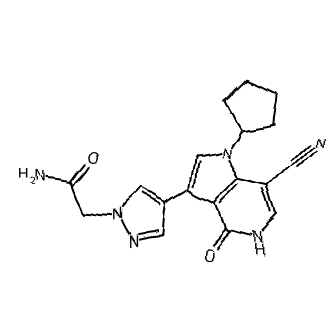 N#Cc1c[nH]c(=O)c2c(-c3cnn(CC(N)=O)c3)cn(C3CCCC3)c12